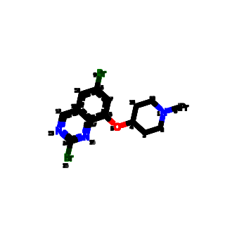 CC(C)N1CCC(Oc2cc(Br)cc3cnc(Br)nc23)CC1